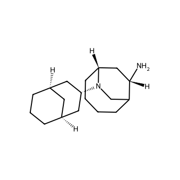 N[C@H]1C[C@H]2CCCCC1CN2[C@H]1C[C@@H]2CCC[C@@H](C2)C1